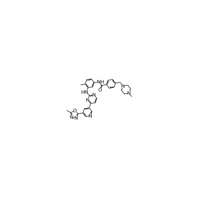 Cc1nnc(-c2cncc(-c3ccnc(Nc4cc(NC(=O)c5ccc(CN6CCN(C)CC6)cc5)ccc4C)n3)c2)o1